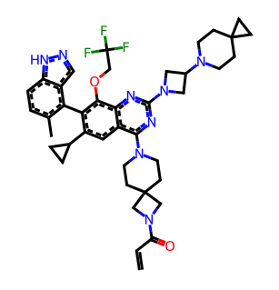 C=CC(=O)N1CC2(CCN(c3nc(N4CC(N5CCC6(CC5)CC6)C4)nc4c(OCC(F)(F)F)c(-c5c(C)ccc6[nH]ncc56)c(C5CC5)cc34)CC2)C1